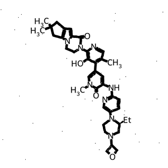 CC[C@H]1CN(C2COC2)CCN1c1ccc(Nc2cc(-c3c(C)cnc(N4CCn5c(cc6c5CC(C)(C)C6)C4=O)c3O)cn(C)c2=O)nc1